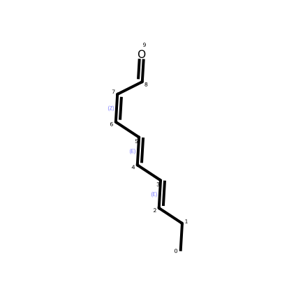 CC/C=C/C=C/C=C\C=O